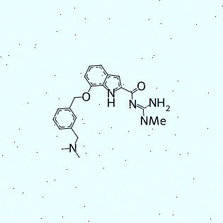 CNC(N)=NC(=O)c1cc2cccc(OCc3cccc(CN(C)C)c3)c2[nH]1